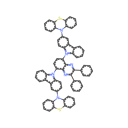 c1ccc(-c2nc3c(-n4c5ccccc5c5cc(N6c7ccccc7Sc7ccccc76)ccc54)ccc(-n4c5ccccc5c5cc(N6c7ccccc7Sc7ccccc76)ccc54)c3nc2-c2ccccc2)cc1